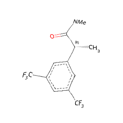 CNC(=O)[C@H](C)c1cc(C(F)(F)F)cc(C(F)(F)F)c1